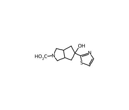 O=C(O)N1CC2CC(O)(c3nccs3)CC2C1